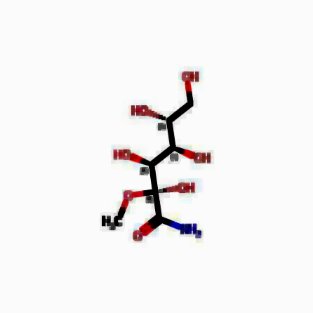 CO[C@](O)(C(N)=O)[C@@H](O)[C@H](O)[C@H](O)CO